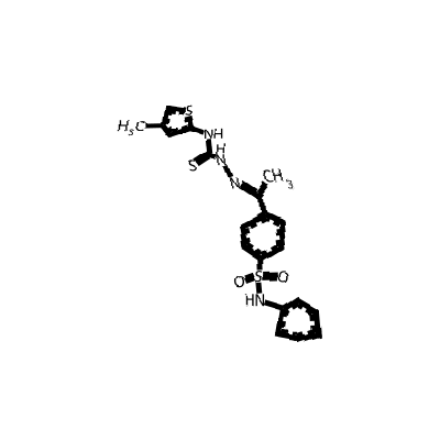 CC(=NNC(=S)Nc1cc(C)cs1)c1ccc(S(=O)(=O)Nc2ccccc2)cc1